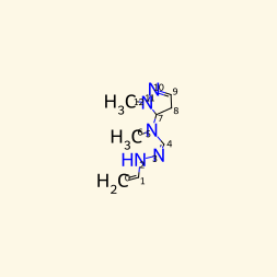 C=CN/N=C\N(C)C1CC=NN1C